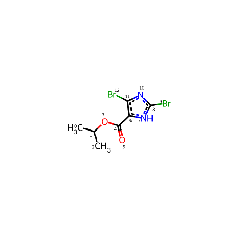 CC(C)OC(=O)c1[nH]c(Br)nc1Br